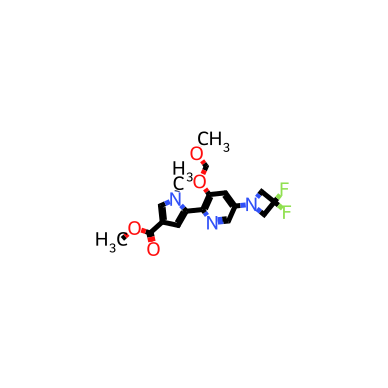 COCOc1cc(N2CC(F)(F)C2)cnc1-c1cc(C(=O)OC)cn1C